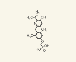 Cc1cc(OCP(=O)(O)O)cc(C)c1Cc1ccc(O)c(C(C)C)n1